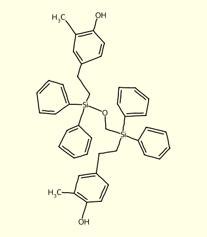 Cc1cc(CC[Si](CO[Si](CCc2ccc(O)c(C)c2)(c2ccccc2)c2ccccc2)(c2ccccc2)c2ccccc2)ccc1O